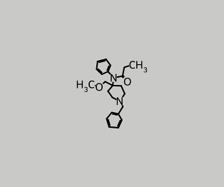 CCC(=O)N(c1ccccc1)C1(COC)CCN(Cc2ccccc2)CC1